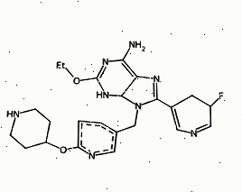 CCOC1=NC(N)=C2N=C(C3=CN=CC(F)C3)N(Cc3ccc(OC4CCNCC4)nc3)C2N1